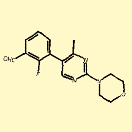 Cc1nc(N2CCOCC2)ncc1-c1cccc(C=O)c1F